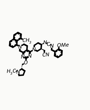 COc1ccccc1CN=C=N[C@@H]1CCN(c2nc(OC[C@@H]3CCCN3C)nc3c2CCN(c2cccc4cccc(C)c24)C3)C[C@@H]1CC#N